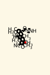 CC1(C)CC[C@]2(CCC(=O)N3CCNCC3)CC[C@]3(C)C(C(=O)C=C4[C@@]5(C)C=C(C#N)C(=O)C(C)(C)[C@@H]5CC[C@]43C)C2C1